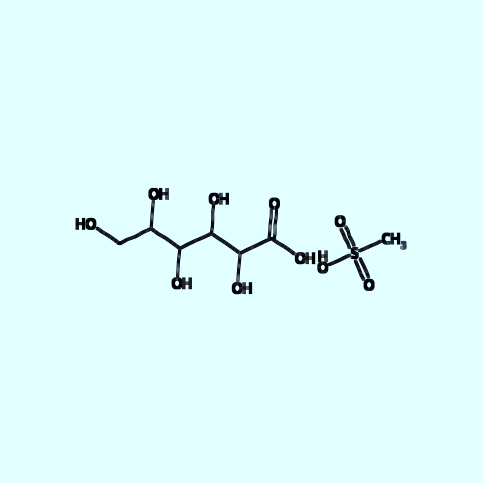 CS(=O)(=O)O.O=C(O)C(O)C(O)C(O)C(O)CO